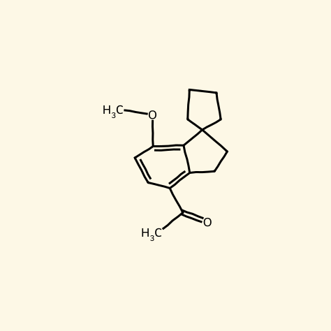 COc1ccc(C(C)=O)c2c1C1(CCCC1)CC2